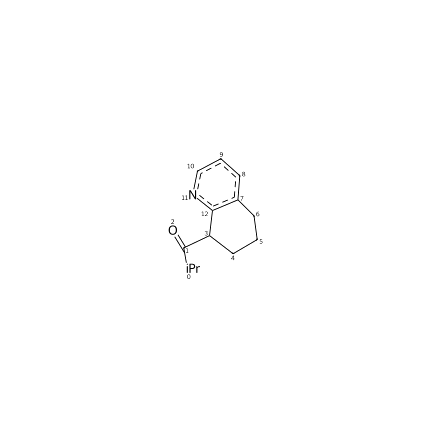 CC(C)C(=O)C1CCCc2cccnc21